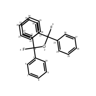 FC(OC(F)(c1ccccc1)c1ccccc1)(c1ccccc1)c1ccccc1